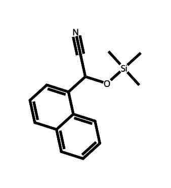 C[Si](C)(C)OC(C#N)c1cccc2ccccc12